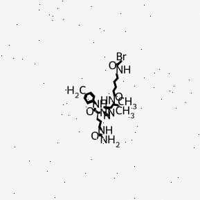 [CH2]c1ccc(NC(=O)[C@H](CCCNC(N)=O)n2cc([C@@H](NC(=O)CCCCCNC(=O)CBr)C(C)C)nn2)cc1